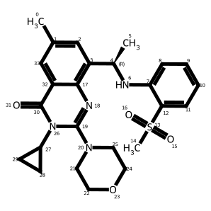 Cc1cc([C@@H](C)Nc2ccccc2S(C)(=O)=O)c2nc(N3CCOCC3)n(C3CC3)c(=O)c2c1